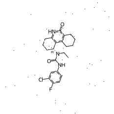 CCN(C(=O)Nc1ccc(F)c(Cl)c1)[C@@H]1CCCc2[nH]c(=O)c3c(c21)CCCC3